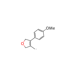 [CH2]C1=C(c2ccc(OC)cc2)COC1